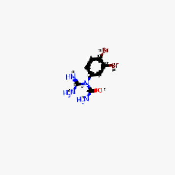 N=C(N)N(C(N)=O)c1ccc(Br)c(Br)c1